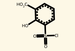 O=C(O)c1cccc(S(=O)(=O)Cl)c1O